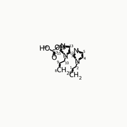 C=CCn1ccnc1.C=CCn1ccnc1.O=S(O)O